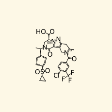 CC(c1ccc(S(=O)(=O)C2CC2)cc1)N1C[C@@H](C(=O)O)n2nc3c(c2C1=O)CN(C(=O)c1ccc(Cl)c(C(F)(F)F)c1)[C@H](C)C3